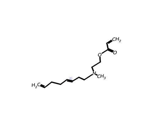 C=CCC/C=C/CCN(C)CCOC(=O)C=C